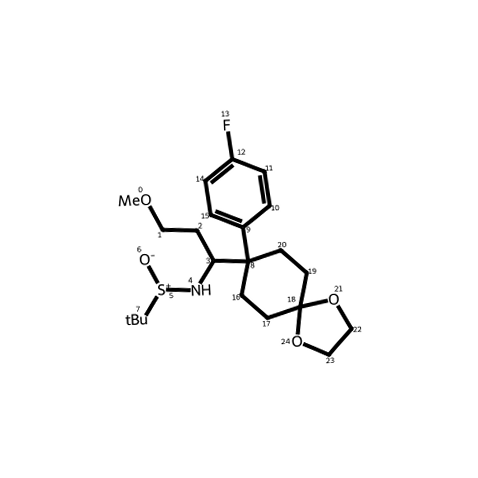 COCCC(N[S+]([O-])C(C)(C)C)C1(c2ccc(F)cc2)CCC2(CC1)OCCO2